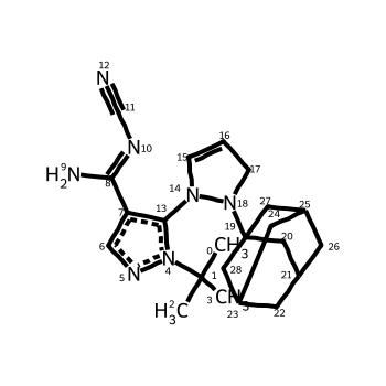 CC(C)(C)n1ncc(C(N)=NC#N)c1N1C=CCN1C12CC3CC(CC(C3)C1)C2